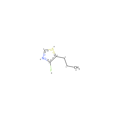 CCCc1scnc1F